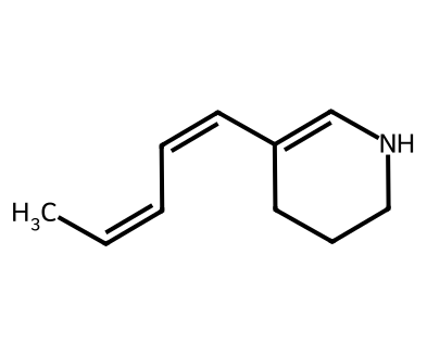 C/C=C\C=C/C1=CNCCC1